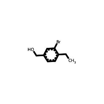 CCc1ccc(CO)cc1Br